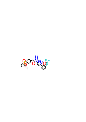 CCS(=O)(=O)c1ccc(CC(=O)Nc2ccc(-c3ccccc3OC(F)(F)F)nn2)cc1